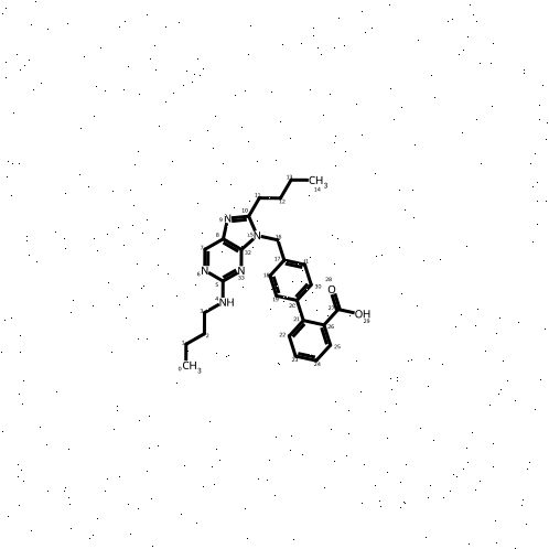 CCCCNc1ncc2nc(CCCC)n(Cc3ccc(-c4ccccc4C(=O)O)cc3)c2n1